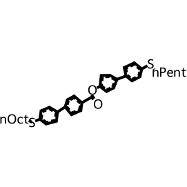 CCCCCCCCSc1ccc(-c2ccc(C(=O)Oc3ccc(-c4ccc(SCCCCC)cc4)cc3)cc2)cc1